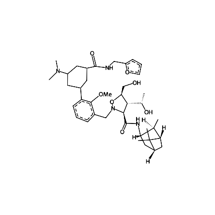 COc1c(CN2O[C@@H](CO)[C@H]([C@H](C)O)[C@H]2C(=O)N[C@H]2C[C@H]3C[C@@H]([C@@H]2C)C3(C)C)cccc1C1CC(C(=O)NCc2ccco2)CC(N(C)C)C1